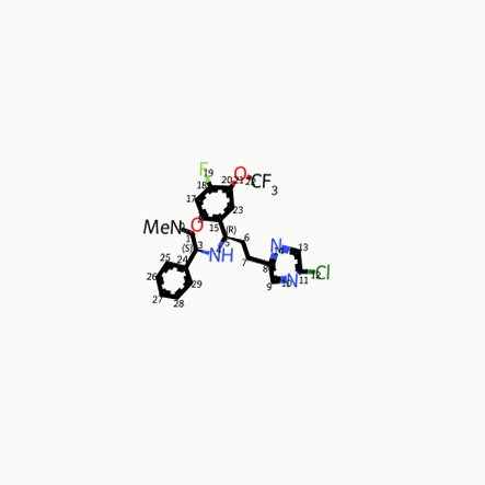 CNC(=O)[C@@H](N[C@H](CCc1cnc(Cl)cn1)c1ccc(F)c(OC(F)(F)F)c1)c1ccccc1